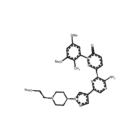 COCCN1CCC(n2cc(-c3cnc(N)c(-c4ccc(=O)n(-c5cc(OC)cc(OC)c5C)n4)n3)cn2)CC1